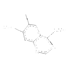 CNc1ncnc2cc(OC)c(C)cc12